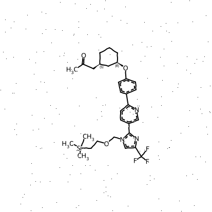 CC(=O)C[C@H]1CCC[C@@H](Oc2ccc(-c3ccc(-c4nc(C(F)(F)F)cn4COCC[Si](C)(C)C)cn3)cc2)C1